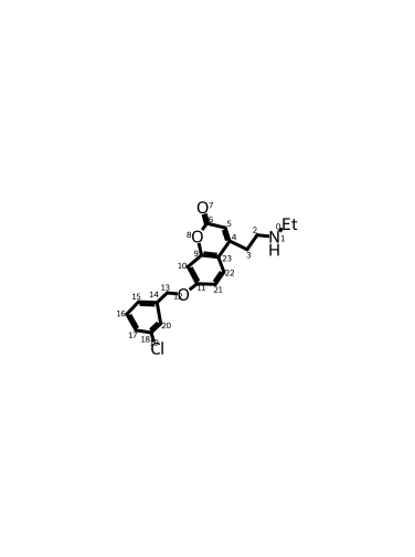 CCNCCc1cc(=O)oc2cc(OCc3cccc(Cl)c3)ccc12